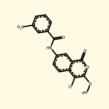 CCCOc1oc(=O)c2cc(NC(=O)c3cccc([N+](=O)[O-])c3)ccc2c1Cl